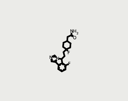 NC(=O)CC1CCC(F)(CCC2c3c(F)cccc3-c3cncn32)CC1